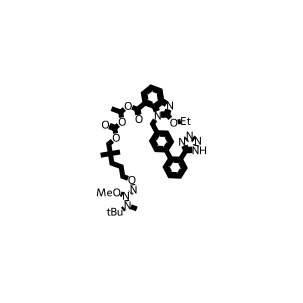 CCOc1nc2cccc(C(=O)OC(C)OC(=O)OCC(C)(C)CCCO/N=[N+](\OC)N(C)C(C)(C)C)c2n1Cc1ccc(-c2ccccc2-c2nnn[nH]2)cc1